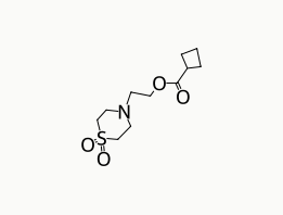 O=C(OCCN1CCS(=O)(=O)CC1)C1CCC1